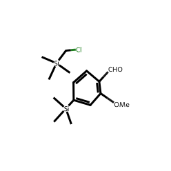 COc1cc([Si](C)(C)C)ccc1C=O.C[Si](C)(C)CCl